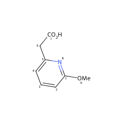 COc1cccc(CC(=O)O)n1